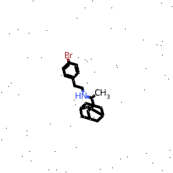 CC(NCCc1ccc(Br)cc1)C12CC3CC(CC(C3)C1)C2